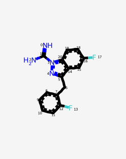 N=C(N)n1nc(Cc2ccccc2F)c2cc(F)ccc21